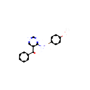 CC(C)Oc1ccc(S(=O)(=O)Nc2ncncc2C(=O)c2ccccc2)cc1